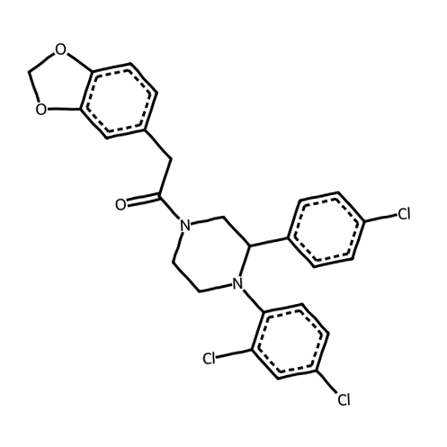 O=C(Cc1ccc2c(c1)OCO2)N1CCN(c2ccc(Cl)cc2Cl)C(c2ccc(Cl)cc2)C1